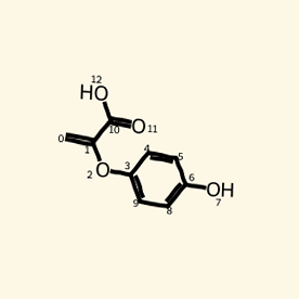 C=C(Oc1ccc(O)cc1)C(=O)O